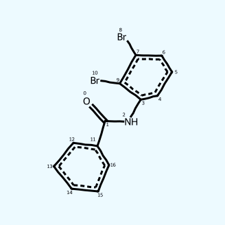 O=C(Nc1cccc(Br)c1Br)c1ccccc1